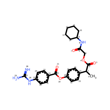 CC(C(=O)OCC(=O)NC1CCCCC1)c1ccc(OC(=O)c2ccc(NC(=N)N)cc2)cc1